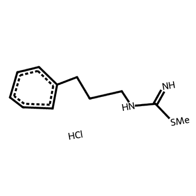 CSC(=N)NCCCc1ccccc1.Cl